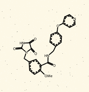 COc1ccc(CN2C(=O)NC(=O)C2=O)cc1C(=O)NCc1ccc(Oc2ccncc2)cc1